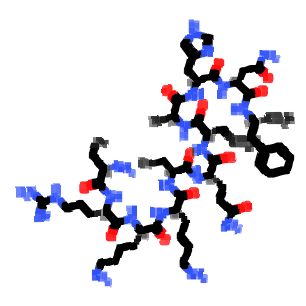 CC(C)C[C@H](NC(=O)[C@H](CCCCN)NC(=O)[C@H](CCCCN)NC(=O)[C@H](CCCNC(=N)N)NC(=O)[C@@H](N)CC(C)C)C(=O)N[C@@H](CCC(N)=O)C(=O)N[C@@H](CC(=O)O)C(=O)N[C@H](C(=O)N[C@@H](Cc1c[nH]cn1)C(=O)N[C@@H](CC(N)=O)C(=O)N[C@@H](Cc1ccccc1)C(=O)O)C(C)C